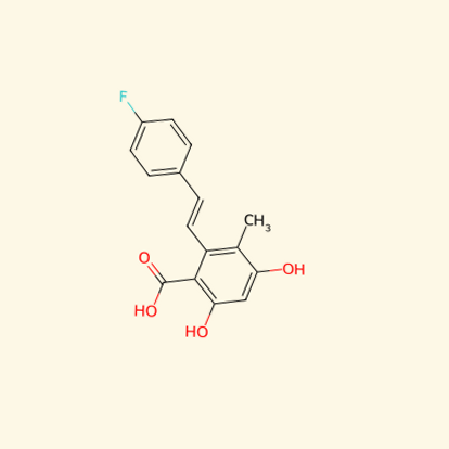 Cc1c(O)cc(O)c(C(=O)O)c1C=Cc1ccc(F)cc1